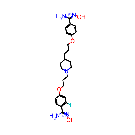 N/C(=N\O)c1ccc(OCCCN2CCC(CCCOc3ccc(/C(N)=N\O)cc3)CC2)cc1F